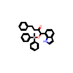 C[Si](O[C](C(=O)CCc1ccccc1)c1cccc2cc[nH]c12)(c1ccccc1)c1ccccc1